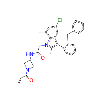 C=CC(=O)N1CC(NC(=O)Cn2c(C)c(-c3ccccc3Cc3ccccc3)c3cc(Cl)cc(C)c32)C1